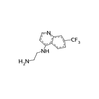 NCCNc1ccnc2cc(C(F)(F)F)ccc12